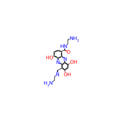 NCC/N=C/c1c(O)cc(O)c2nc3c(C(=O)NCCN)ccc(O)c3nc12